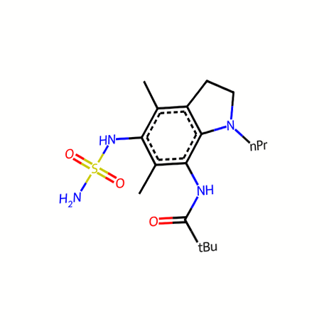 CCCN1CCc2c(C)c(NS(N)(=O)=O)c(C)c(NC(=O)C(C)(C)C)c21